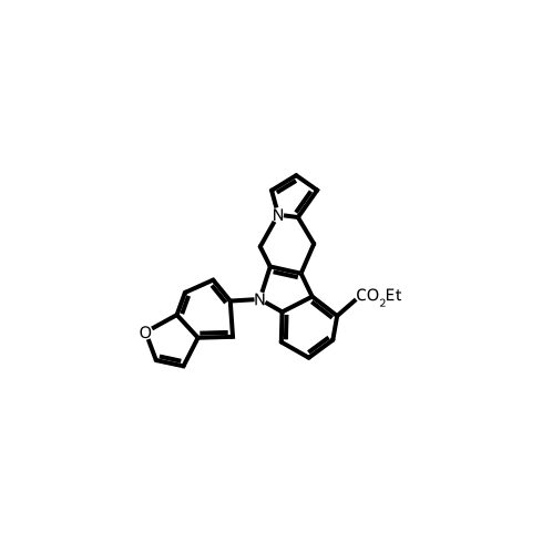 CCOC(=O)c1cccc2c1c1c(n2-c2ccc3occc3c2)Cn2cccc2C1